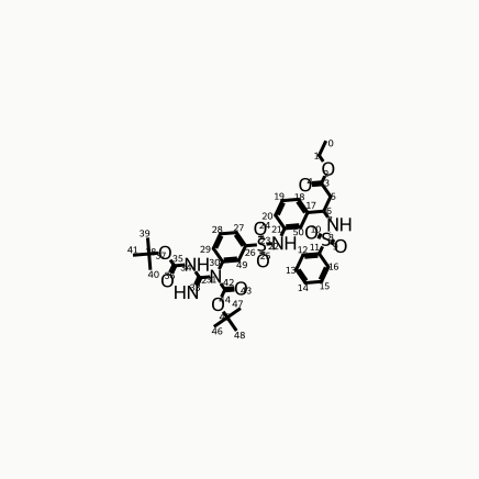 CCOC(=O)CC(NS(=O)(=O)c1ccccc1)c1cccc(NS(=O)(=O)c2cccc(N(C(=N)NC(=O)OC(C)(C)C)C(=O)OC(C)(C)C)c2)c1